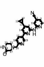 N#Cc1ccnc(Nc2cc(C3CC3)cc(-c3ccc(CN4CCNC(=O)C4)nc3)n2)c1